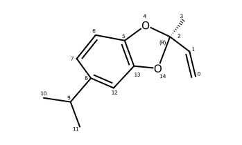 C=C[C@]1(C)Oc2ccc(C(C)C)cc2O1